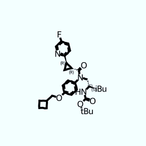 CC[C@H](C)[C@@H](CN(C(=O)[C@@H]1C[C@H]1c1ccc(F)cn1)c1ccc(OCC2CCC2)cc1)NC(=O)OC(C)(C)C